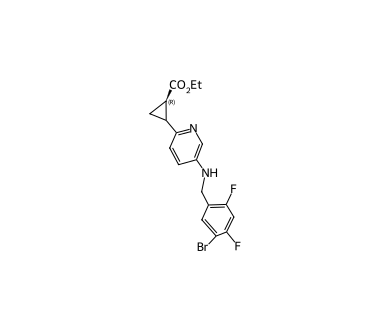 CCOC(=O)[C@@H]1CC1c1ccc(NCc2cc(Br)c(F)cc2F)cn1